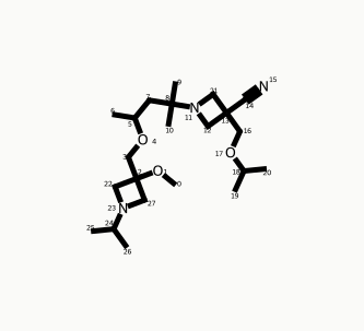 COC1(COC(C)CC(C)(C)N2CC(C#N)(COC(C)C)C2)CN(C(C)C)C1